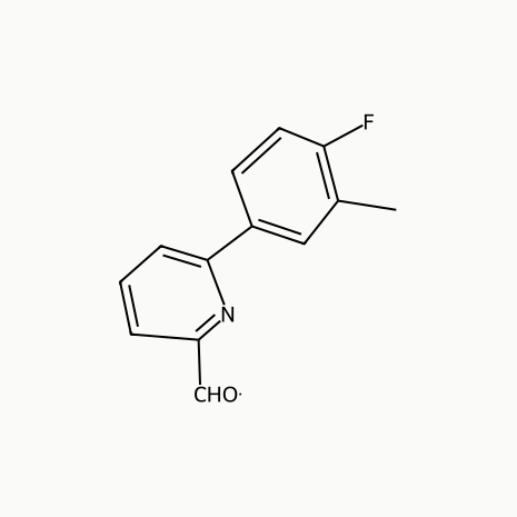 Cc1cc(-c2cccc([C]=O)n2)ccc1F